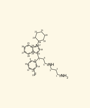 NCCCNCCC(c1cccc(F)c1)c1cn(C2CCCCC2)c2ccccc12